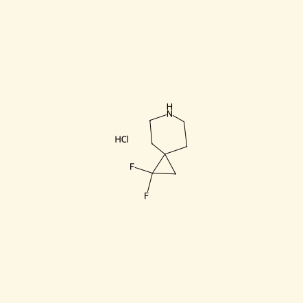 Cl.FC1(F)CC12CCNCC2